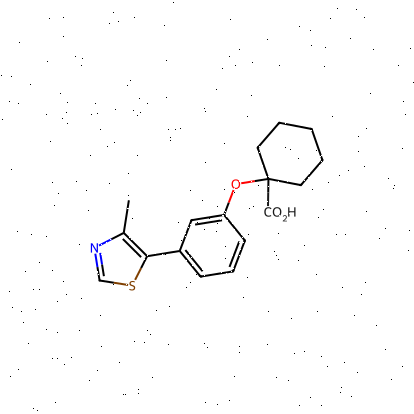 Cc1ncsc1-c1cccc(OC2(C(=O)O)CCCCC2)c1